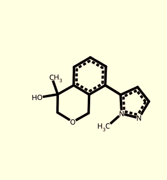 Cn1nccc1-c1cccc2c1COCC2(C)O